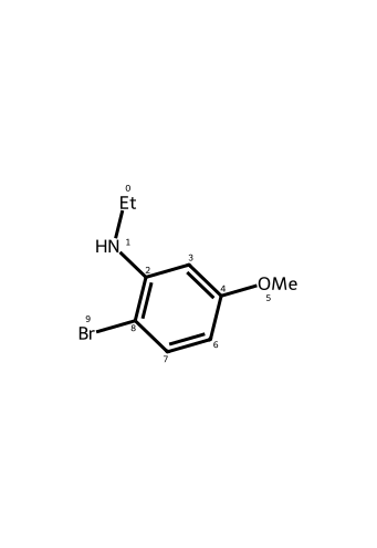 CCNc1cc(OC)ccc1Br